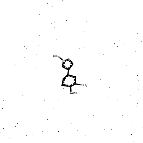 CCCCn1cc(-c2ccc(OC)c(C)c2)cn1